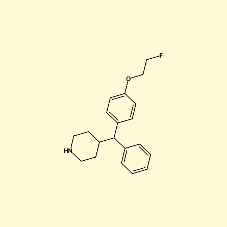 FCCOc1ccc(C(c2ccccc2)C2CCNCC2)cc1